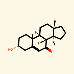 C[C@@]12CCC[C@H]1[C@@H]1C(=O)C=C3C[C@H](O)CC[C@]3(C)[C@H]1CC2